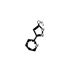 CC1=CC(c2ccccn2)=N[N]1